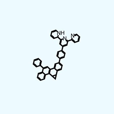 C1=CNC(c2cc(-c3ccc(-c4ccc5c(c4)-c4cc(-c6ccccc6)c6ccccc6c4C4CC54)cc3)cc(-c3ccccn3)n2)C=C1